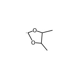 CC1O[CH]OC1C